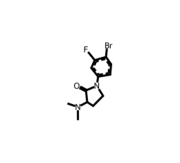 CN(C)C1CCN(c2ccc(Br)c(F)c2)C1=O